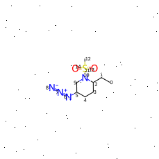 CCC1CCC(N=[N+]=[N-])CN1S(C)(=O)=O